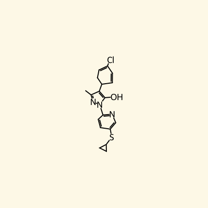 Cc1nn(-c2ccc(SC3CC3)cn2)c(O)c1C1C=CC(Cl)=CC1